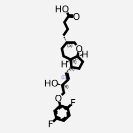 O=C(O)CCC[C@H]1CC[C@H]2[C@H](CC[C@@H]2/C=C/[C@@H](O)COc2cc(F)ccc2F)OC1